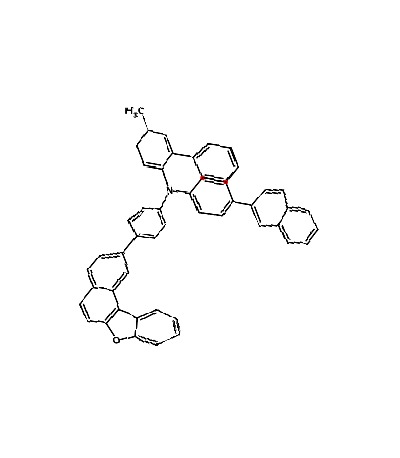 CC1C=C(c2ccccc2)C(N(c2ccc(-c3ccc4ccccc4c3)cc2)c2ccc(-c3ccc4ccc5oc6ccccc6c5c4c3)cc2)=CC1